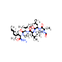 C/C=C/C[C@@H](C)[C@@H](C)[C@@H](C(N)=O)N(C)C(=O)[C@H](C(C)C)N(C)C(=O)[C@H](CC(C)C)N(C)C(=O)[C@H](CC(C)C)N(C)C(=O)[C@H](C)NC=O